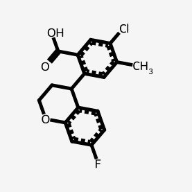 Cc1cc(C2CCOc3cc(F)ccc32)c(C(=O)O)cc1Cl